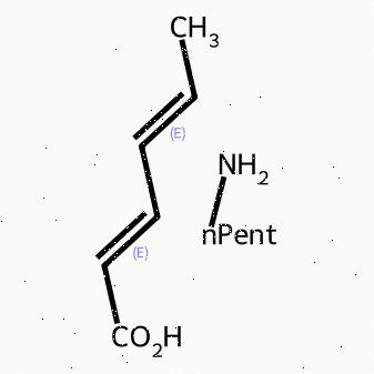 C/C=C/C=C/C(=O)O.CCCCCN